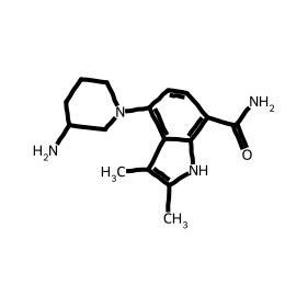 Cc1[nH]c2c(C(N)=O)ccc(N3CCCC(N)C3)c2c1C